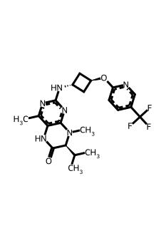 Cc1nc(N[C@H]2C[C@H](Oc3ccc(C(F)(F)F)cn3)C2)nc2c1NC(=O)[C@H](C(C)C)N2C